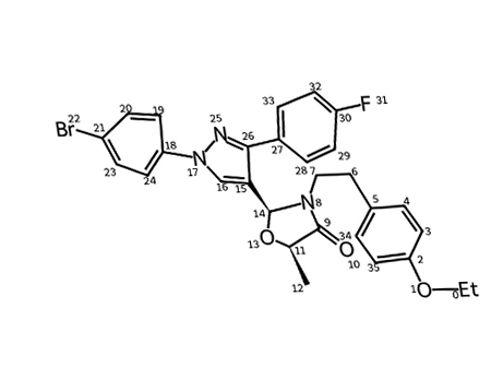 CCOc1ccc(CCN2C(=O)[C@@H](C)O[C@H]2c2cn(-c3ccc(Br)cc3)nc2-c2ccc(F)cc2)cc1